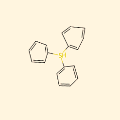 c1ccc([SH](c2ccccc2)c2ccccc2)cc1